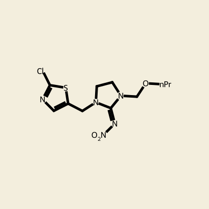 CCCOCN1CCN(Cc2cnc(Cl)s2)C1=N[N+](=O)[O-]